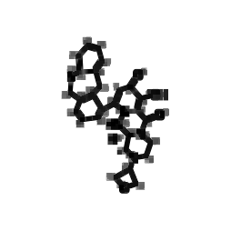 O=C1c2c(O)c(=O)cc(-c3cccc4c3Cc3ccccc3SC4)n2N[C@@H]2CN(C3COC3)CCN12